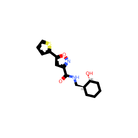 O=C(NC[C@@H]1CCCC[C@H]1O)c1cc(-c2cccs2)on1